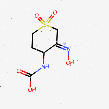 O=C(O)NC1CCS(=O)(=O)C/C1=N/O